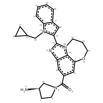 N[C@@H]1CCN(C(=O)c2cc3c4c(c2)nc(-c2cc5ccccc5n2CC2CC2)n4CCCO3)C1